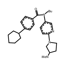 CCC(C)N(C(=O)c1ccc(C2CCCCC2)cc1)c1ccc(N2CCC(NC)C2)nc1